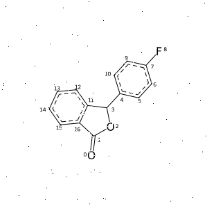 O=C1OC(c2ccc(F)cc2)c2ccccc21